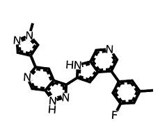 Cc1cc(F)cc(-c2cncc3[nH]c(-c4n[nH]c5cnc(-c6cnn(C)c6)cc45)cc23)c1